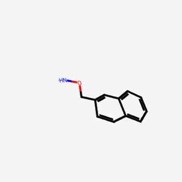 [NH]OCc1ccc2ccccc2c1